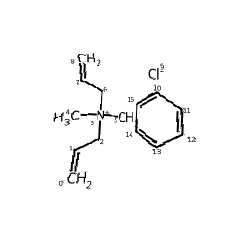 C=CC[N+](C)(C)CC=C.[Cl-].c1ccccc1